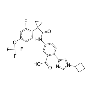 O=C(O)c1cc(NC(=O)C2(c3ccc(OC(F)(F)F)cc3F)CC2)ccc1-c1cn(C2CCC2)cn1